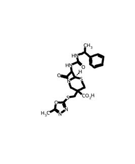 Cc1nnc(SCC2(C(=O)O)CS[C@@H]3C(NC(=O)NC(C)c4ccccc4)C(=O)N3C2)o1